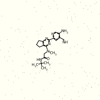 CN(CC(=O)NC(C)(C)C)c1nc(-c2cc(C=N)c(N)cn2)nc2c1CCC2